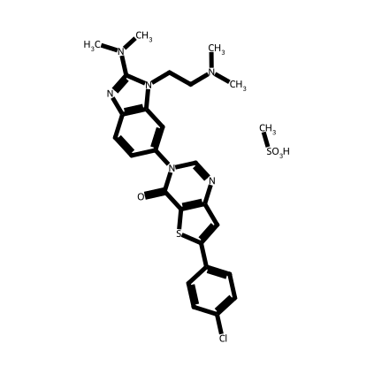 CN(C)CCn1c(N(C)C)nc2ccc(-n3cnc4cc(-c5ccc(Cl)cc5)sc4c3=O)cc21.CS(=O)(=O)O